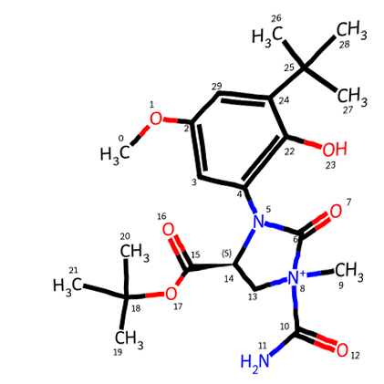 COc1cc(N2C(=O)[N+](C)(C(N)=O)C[C@H]2C(=O)OC(C)(C)C)c(O)c(C(C)(C)C)c1